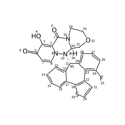 O=C1c2c(O)c(=O)ccn2N([C@H]2c3ccccc3-c3sccc3-c3c(F)cccc32)[C@@H]2COCCN12